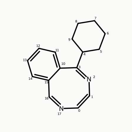 C1=CN=C(C2CCCCC2)c2ccccc2C=N1